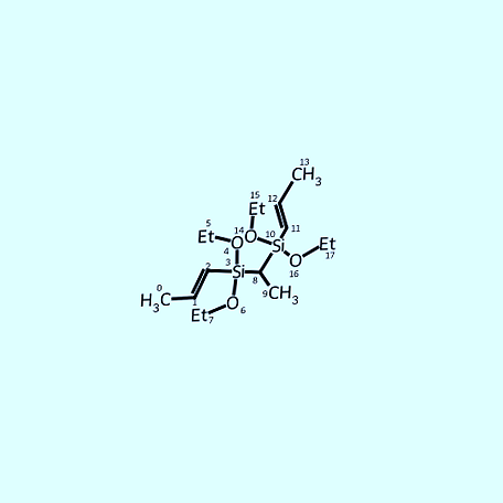 CC=C[Si](OCC)(OCC)C(C)[Si](C=CC)(OCC)OCC